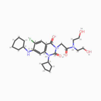 O=C(Cn1c(=O)c2cc(F)c(NC3CCCCC3)cc2n(C2CCCC2)c1=O)N(CCO)CCO